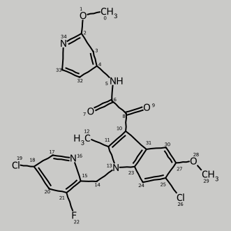 COc1cc(NC(=O)C(=O)c2c(C)n(Cc3ncc(Cl)cc3F)c3cc(Cl)c(OC)cc23)ccn1